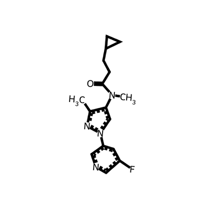 Cc1nn(-c2cncc(F)c2)cc1N(C)C(=O)CCC1CC1